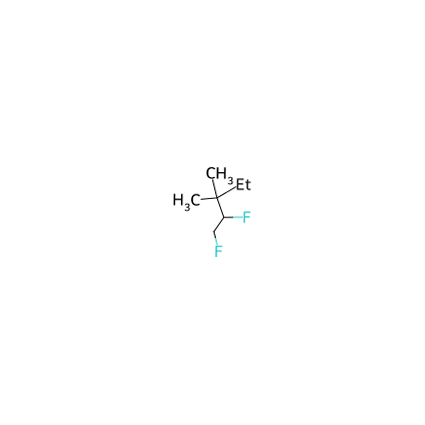 CCC(C)(C)C(F)CF